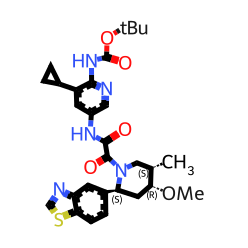 CO[C@@H]1C[C@@H](c2ccc3scnc3c2)N(C(=O)C(=O)Nc2cnc(NC(=O)OC(C)(C)C)c(C3CC3)c2)C[C@@H]1C